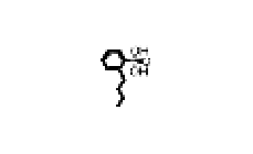 CCCCc1ccccc1P(=O)(O)O